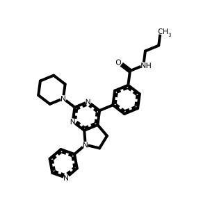 CCCNC(=O)c1cccc(-c2nc(N3CCCCC3)nc3c2CCN3c2cccnc2)c1